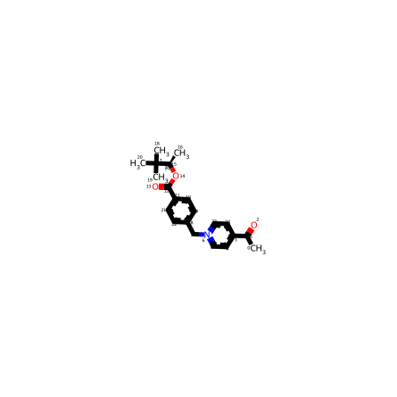 CC(=O)c1cc[n+](Cc2ccc(C(=O)O[C@H](C)C(C)(C)C)cc2)cc1